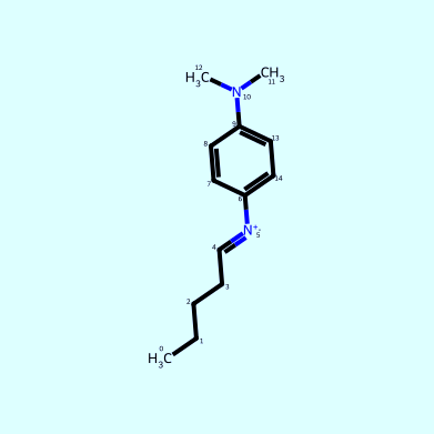 CCCCC=[N+]c1ccc(N(C)C)cc1